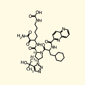 CC(C)(O)c1cnnn1[C@H]1C[C@@H](C(=O)NC(CCCCNC(=O)O)C(=O)C(N)=O)N(C(=O)C(CC2CCCCC2)NC(=O)c2ccc3ncccc3n2)C1